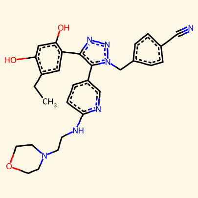 CCc1cc(-c2nnn(Cc3ccc(C#N)cc3)c2-c2ccc(NCCN3CCOCC3)nc2)c(O)cc1O